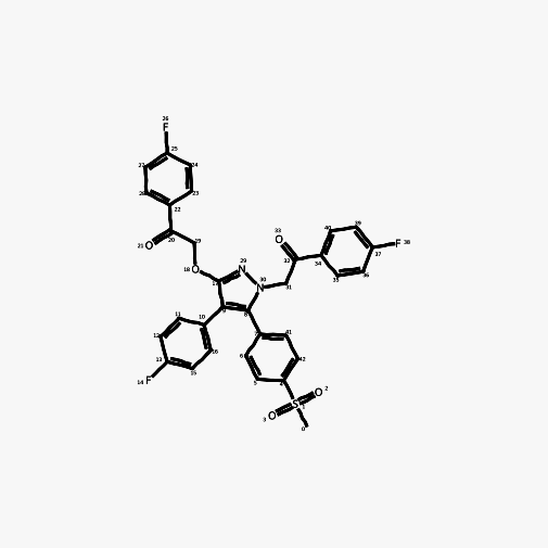 CS(=O)(=O)c1ccc(-c2c(-c3ccc(F)cc3)c(OCC(=O)c3ccc(F)cc3)nn2CC(=O)c2ccc(F)cc2)cc1